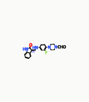 O=CN1CCN(c2ccc(N/C=C3\C(=O)Nc4ccccc43)cc2F)CC1